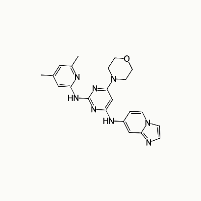 Cc1cc(C)nc(Nc2nc(Nc3ccn4ccnc4c3)cc(N3CCOCC3)n2)c1